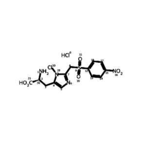 Cl.N[C@@H](Cc1cnc(CS(=O)(=O)c2ccc([N+](=O)[O-])cc2)n1Cl)C(=O)O